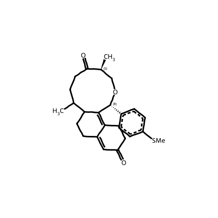 CSc1ccc([C@H]2OC[C@H](C)C(=O)CCC(C)C3CCC4=CC(=O)CCC4=C32)cc1